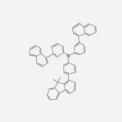 CC1(C)c2ccccc2-c2cccc(-c3ccc(N(c4cccc(-c5cccc6ccccc56)c4)c4cccc(-c5cccc6ccccc56)c4)cc3)c21